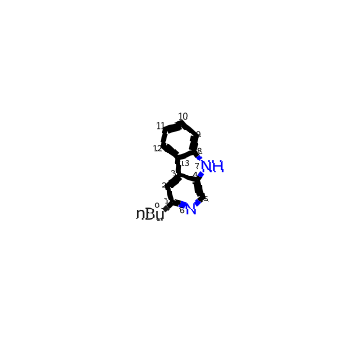 CCCCc1cc2c(cn1)[nH]c1ccccc12